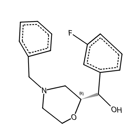 OC(c1cccc(F)c1)[C@H]1CN(Cc2ccccc2)CCO1